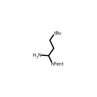 CCCCCC(N)CCC(C)(C)C